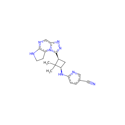 CC1(C)[C@@H](c2nnc3cnc4c(n23)CCN4)C[C@H]1Nc1ccc(C#N)cn1